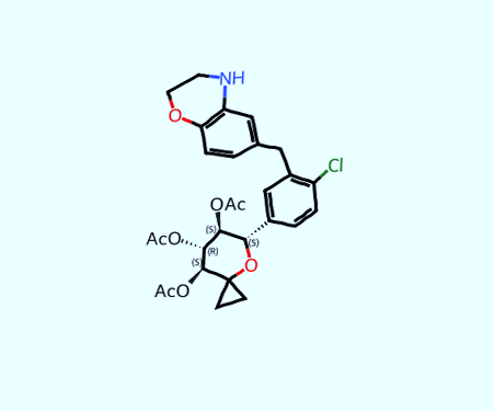 CC(=O)O[C@@H]1[C@@H](OC(C)=O)[C@H](OC(C)=O)C2(CC2)O[C@H]1c1ccc(Cl)c(Cc2ccc3c(c2)NCCO3)c1